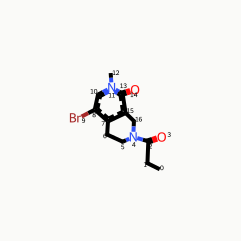 CCC(=O)N1CCc2c(Br)cn(C)c(=O)c2C1